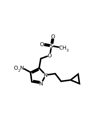 CS(=O)(=O)OCc1c([N+](=O)[O-])cnn1CCC1CC1